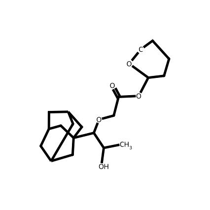 CC(O)C(OCC(=O)OC1CCCCO1)C12CC3CC(CC(C3)C1)C2